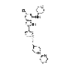 Clc1cc(NC2CCOCC2)c2[nH]c(C3=N[C@H](CCN4CCN(c5cnccn5)CC4)CS3)cc2c1